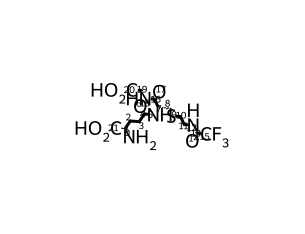 N[C@@H](CCC(=O)N[C@@H](CSCCNC(=O)C(F)(F)F)C(=O)NCC(=O)O)C(=O)O